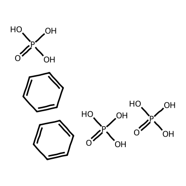 O=P(O)(O)O.O=P(O)(O)O.O=P(O)(O)O.c1ccccc1.c1ccccc1